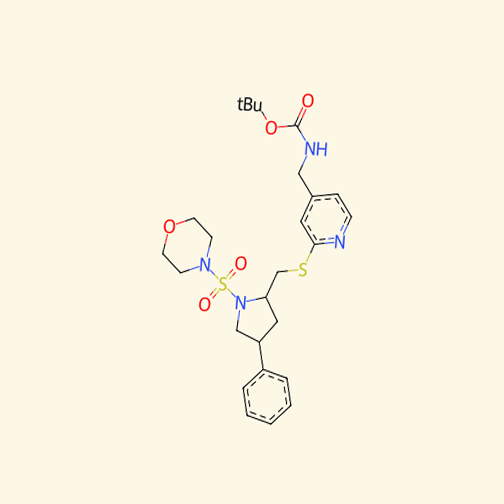 CC(C)(C)OC(=O)NCc1ccnc(SCC2CC(c3ccccc3)CN2S(=O)(=O)N2CCOCC2)c1